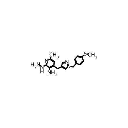 CSc1ccc(Cn2cc(Cc3cc(C)nc(NN)c3N)cn2)cc1